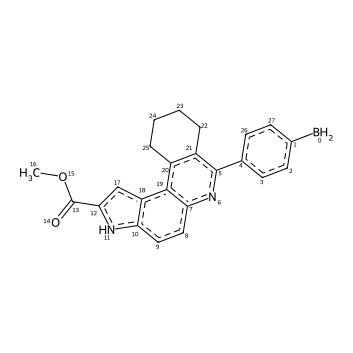 Bc1ccc(-c2nc3ccc4[nH]c(C(=O)OC)cc4c3c3c2CCCC3)cc1